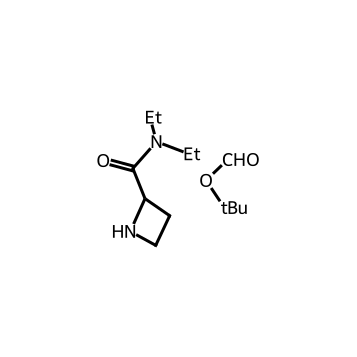 CC(C)(C)OC=O.CCN(CC)C(=O)C1CCN1